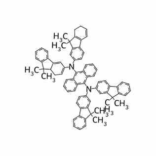 CC1(C)C2=C(C=CCC2)c2ccc(N(C3=CCC4C(=C3)c3ccccc3C4(C)C)c3c4ccccc4c(N(c4ccc5c(c4)C(C)(C)c4ccccc4-5)c4ccc5c(c4)C(C)(C)c4ccccc4-5)c4ccccc34)cc21